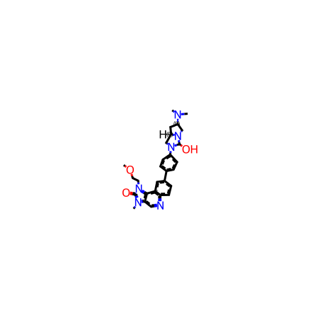 COCCn1c(=O)n(C)c2cnc3ccc(-c4ccc(N5C[C@H]6C[C@@H](N(C)C)CN6C5O)cc4)cc3c21